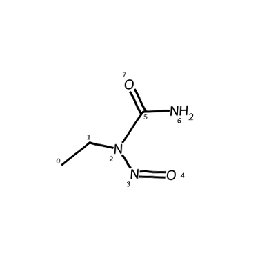 CCN(N=O)C(N)=O